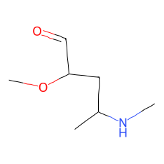 CNC(C)CC(C=O)OC